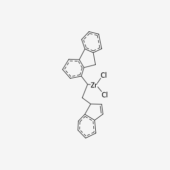 [Cl][Zr]([Cl])[CH](CC1C=Cc2ccccc21)c1cccc2c1Cc1ccccc1-2